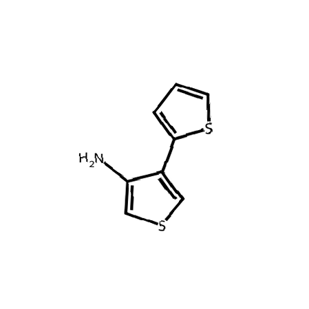 Nc1cscc1-c1cccs1